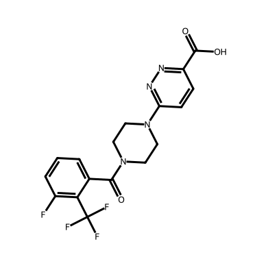 O=C(O)c1ccc(N2CCN(C(=O)c3cccc(F)c3C(F)(F)F)CC2)nn1